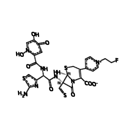 Nc1nc(C(NC(=O)c2cc(=O)c(O)cn2O)C(=O)N[C@@]2(C=S)C(=O)N3C(C(=O)[O-])=C(c4cc[n+](CCF)cc4)CS[C@@H]32)cs1